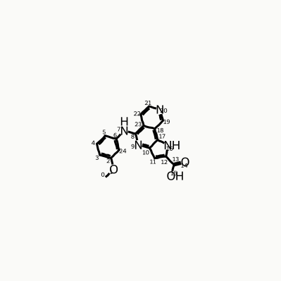 COc1cccc(Nc2nc3cc(C(=O)O)[nH]c3c3cnccc23)c1